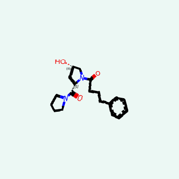 O=C([C@@H]1C[C@H](O)CN1C(=O)CCCc1ccccc1)N1CCCC1